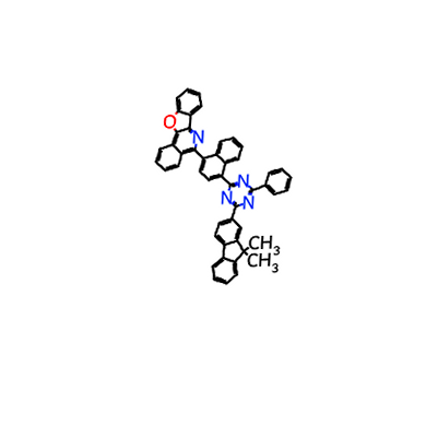 CC1(C)c2ccccc2-c2ccc(-c3nc(-c4ccccc4)nc(-c4ccc(-c5nc6c7ccccc7oc6c6ccccc56)c5ccccc45)n3)cc21